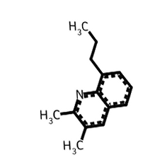 CCCc1cccc2cc(C)c(C)nc12